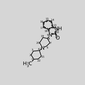 CC1CCC(N2CCC(n3c(=O)[nH]c4ccccc43)CC2)CC1